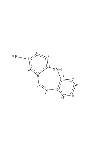 Fc1ccc2c(c1)C=Nc1ccccc1N2